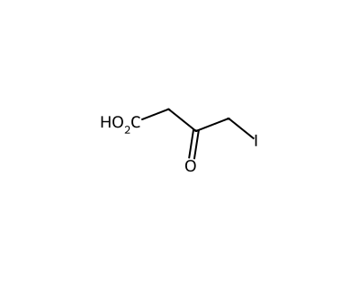 O=C(O)CC(=O)CI